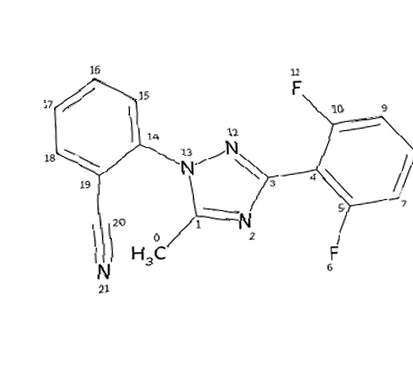 Cc1nc(-c2c(F)cccc2F)nn1-c1ccccc1C#N